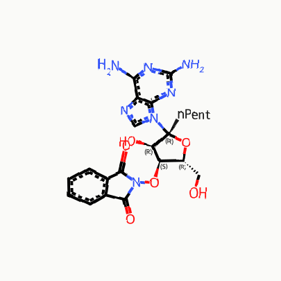 CCCCC[C@@]1(n2cnc3c(N)nc(N)nc32)O[C@H](CO)[C@@H](ON2C(=O)c3ccccc3C2=O)[C@H]1O